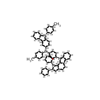 Cc1ccc(N(c2ccc(-n3c4ccccc4c4ccc5cc(-c6ccccc6)n(-c6ccccc6)c5c43)cc2)c2ccc3c(c2)c2ccccc2n3-c2ccc(C)cc2)cc1